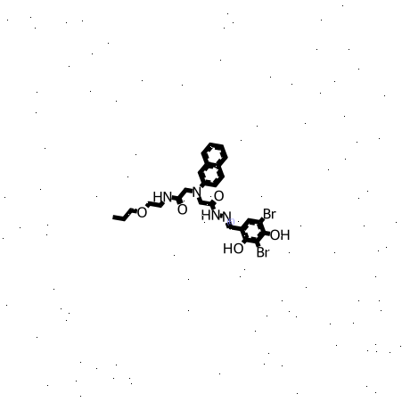 CCCOCCNC(=O)CN(CC(=O)N/N=C/c1cc(Br)c(O)c(Br)c1O)c1ccc2ccccc2c1